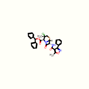 Cc1onc(-c2ccccc2)c1C(=O)N[C@@H]1C(=O)N2[C@@H]1SC[C@@](C)(Cl)[C@@H]2C(=O)OC(c1ccccc1)c1ccccc1